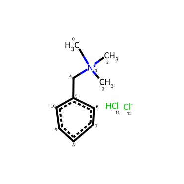 C[N+](C)(C)Cc1ccccc1.Cl.[Cl-]